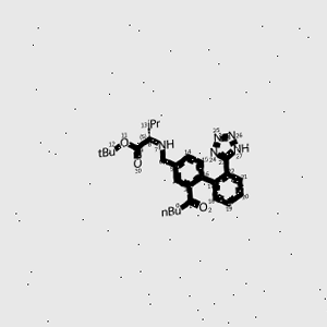 CCCCC(=O)c1cc(CN[C@H](C(=O)OC(C)(C)C)C(C)C)ccc1-c1ccccc1-c1nnn[nH]1